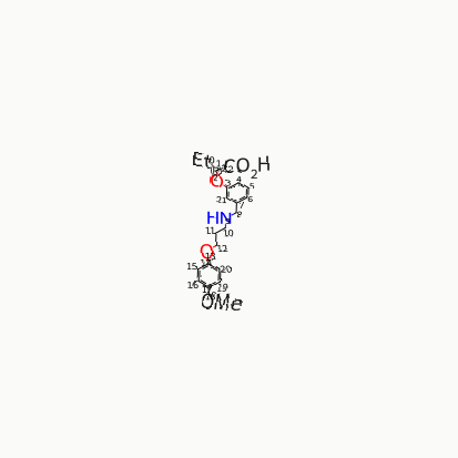 CC[C@@H](Oc1cccc(CNCCCOc2ccc(OC)cc2)c1)C(=O)O